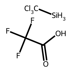 O=C(O)C(F)(F)F.[SiH3]C(Cl)(Cl)Cl